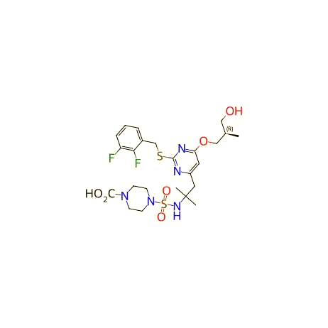 C[C@H](CO)COc1cc(CC(C)(C)NS(=O)(=O)N2CCN(C(=O)O)CC2)nc(SCc2cccc(F)c2F)n1